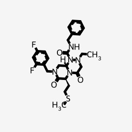 CCN1CC(=O)N2[C@@H](CCSC)C(=O)N(Cc3ccc(F)cc3F)C[C@@H]2N1C(=O)NCc1ccccc1